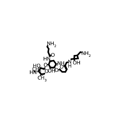 CN[C@@H]1[C@@H](O)[C@@H](O[C@@H]2[C@@H](O)[C@H](O[C@@H]3CCC=C(CNCC4(O)CC(CN)C4)O3)[C@@H](N)C[C@H]2NC(=O)CCCN)OC[C@H]1C